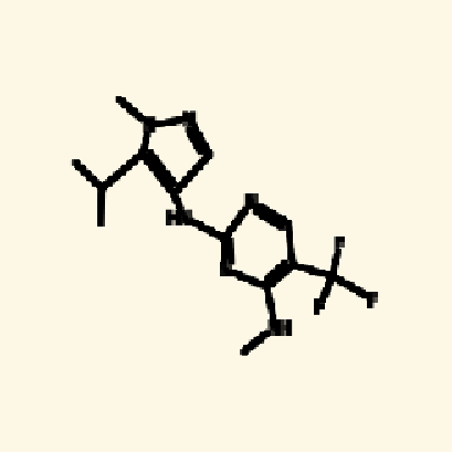 CNc1nc(Nc2cnn(C)c2C(C)C)ncc1C(F)(F)F